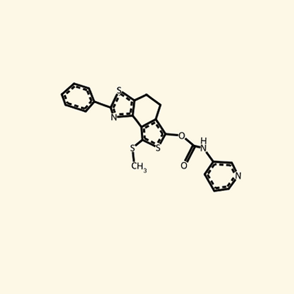 CSc1sc(OC(=O)Nc2cccnc2)c2c1-c1nc(-c3ccccc3)sc1CC2